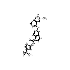 C[C@@H]1Cc2c(ncnc2Oc2ccc3c(ccn3C(=O)Nc3cc(C4(C)CC4)n[nH]3)c2)CN1